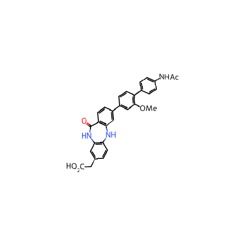 COc1cc(-c2ccc3c(c2)Nc2ccc(CC(=O)O)cc2NC3=O)ccc1-c1ccc(NC(C)=O)cc1